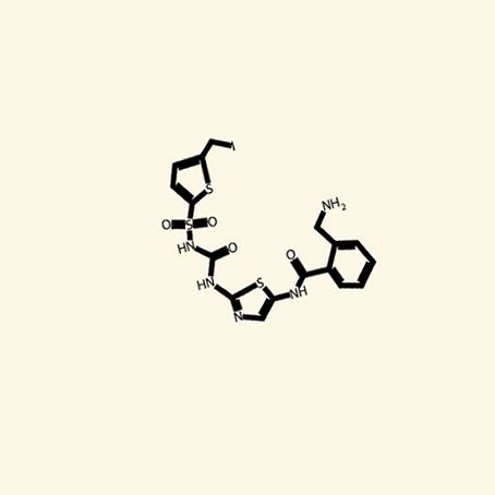 NCc1ccccc1C(=O)Nc1cnc(NC(=O)NS(=O)(=O)c2ccc(CI)s2)s1